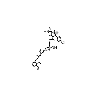 C=Cc1cccc(CC/C(C)=C/N(C=C)CCN/C=C(/C#C/C(C)=C(C)/C(C(=C)c2ccc(Cl)cc2)=C(\C)N(C(C)=N)C(=N)CC)C=N)c1CC